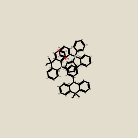 CC1(C)c2ccccc2C(c2cc(-c3ccccc3[Si](c3ccccc3)(c3ccccc3)c3ccccc3)cc(N3c4ccccc4C(C)(C)c4ccccc43)c2)c2ccccc21